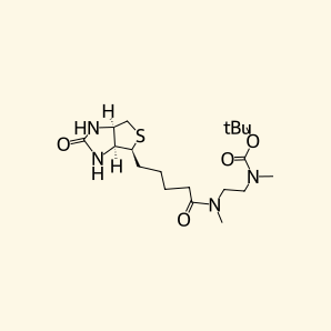 CN(CCN(C)C(=O)OC(C)(C)C)C(=O)CCCC[C@@H]1SC[C@@H]2NC(=O)N[C@@H]21